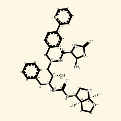 C[C@@H]1OC(=O)N[C@@H]1C(=O)NN(Cc1ccc(-c2ccccn2)cc1)C[C@H](O)[C@H](Cc1ccccc1)NC(=O)O[C@H]1CO[C@H]2OCC[C@H]21